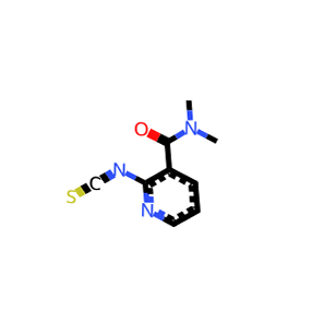 CN(C)C(=O)c1cccnc1N=C=S